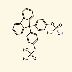 O=P(O)(O)Oc1ccc(C2(c3ccc(OP(=O)(O)O)cc3)c3ccccc3-c3ccccc32)cc1